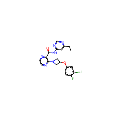 CCc1cc(NC(=O)c2nccnc2N2CC(Oc3ccc(F)c(Cl)c3)C2)ncn1